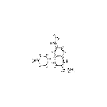 CONc1ccc2[nH]c(=O)cc(C3CCC(=O)CC3)c2c1.N